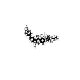 COc1ncc(-c2cnc3[nH]cc(C(=O)c4c(F)ccc(NS(=O)(=O)N(C)CCCF)c4F)c3c2)cn1